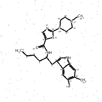 CCCCC(Cc1c[nH]c2cc(C)c(F)cc12)NC(=O)c1cnc(N2CCN(C)CC2)s1